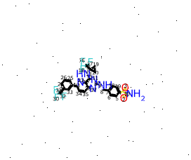 NS(=O)(=O)c1ccc(CNc2nc(NC3(C(F)(F)F)CC3)c3nc(-c4cccc(C(F)(F)F)c4)ccc3n2)cc1